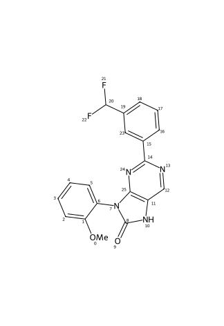 COc1ccccc1-n1c(=O)[nH]c2cnc(-c3cccc(C(F)F)c3)nc21